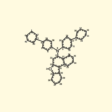 c1ccc(-c2ccc(N(c3ccc(-c4ccccc4)cc3)c3cc4oc5ccccc5c4c4ccccc34)cc2)cc1